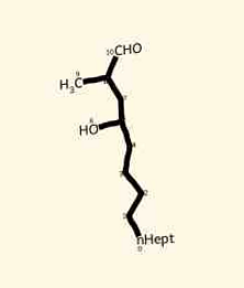 CCCCCCCCCCCC(O)CC(C)C=O